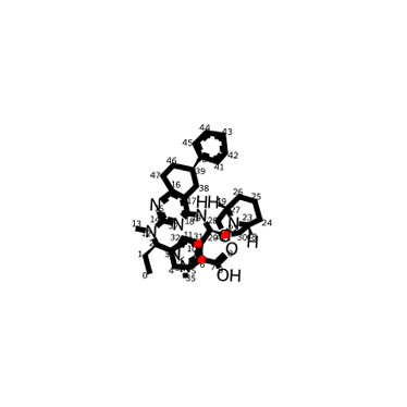 CC[C@H](C1CCC(C(=O)O)CC1)N(C)c1nc2c(c(N[C@@H](CN3[C@@H]4CCC[C@H]3COC4)c3cnn(C)c3)n1)C[C@H](c1ccccc1)CC2